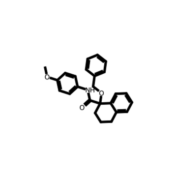 COc1ccc(NC(=O)C2(OCc3ccccc3)CCCc3ccccc32)cc1